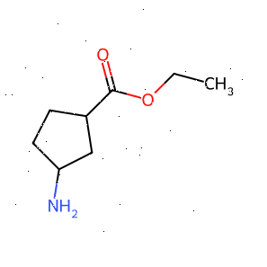 CCOC(=O)C1CCC(N)C1